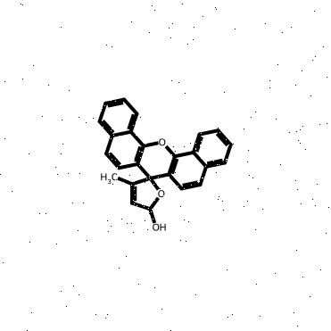 CC1=CC(O)OC12c1ccc3ccccc3c1Oc1c2ccc2ccccc12